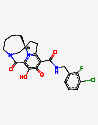 O=C(NCc1cccc(Cl)c1F)c1c2n3c(c(O)c1=O)C(=O)N1CCCC[C@]3(CC2)C1